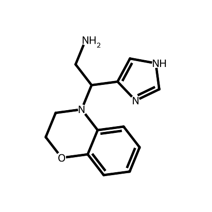 NCC(c1c[nH]cn1)N1CCOc2ccccc21